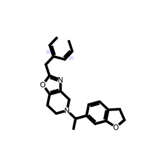 C/C=C\C(=C/C)Cc1nc2c(o1)CCN(C(C)c1ccc3c(c1)OCC3)C2